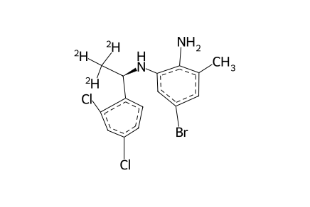 [2H]C([2H])([2H])[C@@H](Nc1cc(Br)cc(C)c1N)c1ccc(Cl)cc1Cl